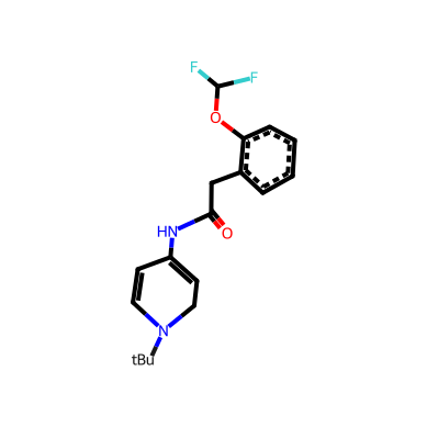 CC(C)(C)N1C=CC(NC(=O)Cc2ccccc2OC(F)F)=CC1